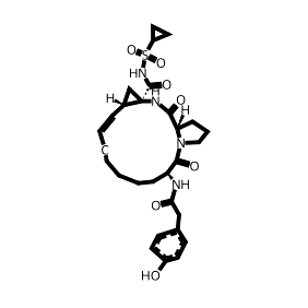 O=C(Cc1ccc(O)cc1)N[C@H]1CCCCC/C=C\[C@@H]2C[C@@]2(C(=O)NS(=O)(=O)C2CC2)NC(=O)[C@@H]2CCCN2C1=O